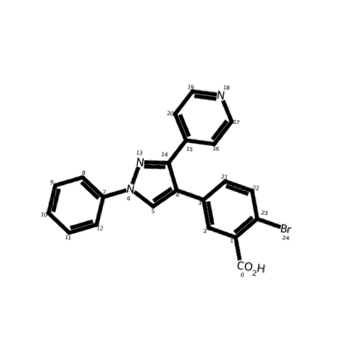 O=C(O)c1cc(-c2cn(-c3ccccc3)nc2-c2ccncc2)ccc1Br